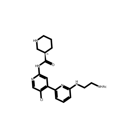 CC(=O)NCCNc1cccc(-c2cc(NC(=O)[C@@H]3CCCNC3)ncc2Cl)n1